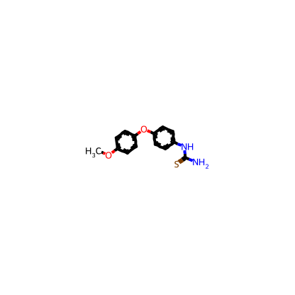 COc1ccc(Oc2ccc(NC(N)=S)cc2)cc1